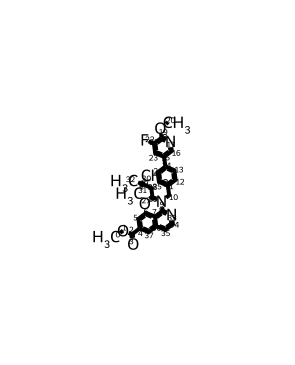 COC(=O)c1ccc2c(N(Cc3ccc(-c4cnc(OC)c(F)c4)cc3)C(=O)CC(C)(C)C)nccc2c1